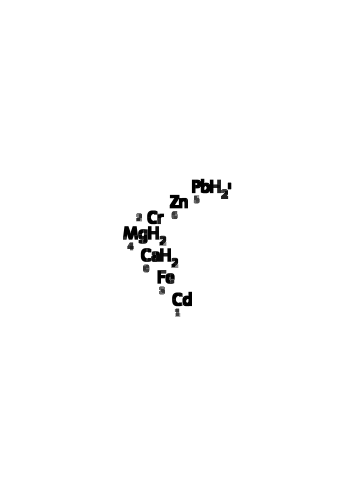 [CaH2].[Cd].[Cr].[Fe].[MgH2].[PbH2].[Zn]